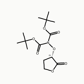 CC(C)(C)OC(=O)N(O[C@H]1CCOC1=O)C(=O)OC(C)(C)C